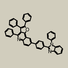 c1ccc(-c2oc3c(c(-c4ccccc4)nc4ccc(-c5ccc(-c6nc7ccccc7n6-c6ccccc6)cc5)cc43)c2-c2ccccc2)cc1